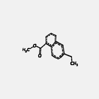 CCc1ccc2c(C(=O)OC)cccc2c1